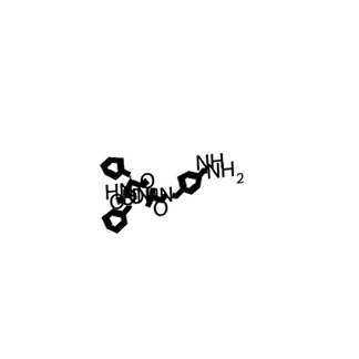 CC(C)(NC(=O)[C@@H](Cc1ccccc1)NS(=O)(=O)Cc1ccccc1)C(=O)NCc1ccc(C(=N)N)cc1